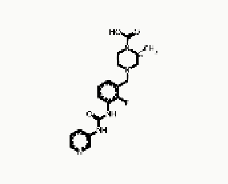 C[C@@H]1CN(Cc2cccc(NC(=O)Nc3cccnc3)c2F)CCN1C(=O)O